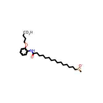 C[S+]([O-])CCCCCCCCCCCCCCC(=O)Nc1ccccc1OCCCC(=O)O